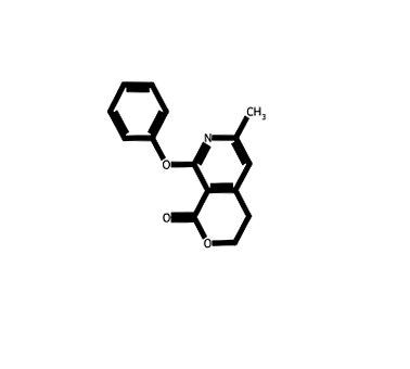 Cc1cc2c(c(Oc3ccccc3)n1)C(=O)OCC2